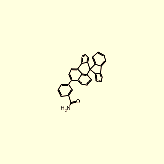 NC(=O)c1cccc(-c2ccc3c4c(cccc24)C2(c4ccccc4-c4ccccc42)c2ccccc2-3)c1